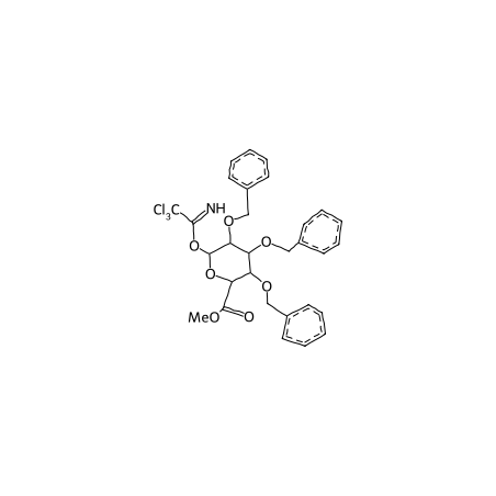 COC(=O)C1OC(OC(=N)C(Cl)(Cl)Cl)C(OCc2ccccc2)C(OCc2ccccc2)C1OCc1ccccc1